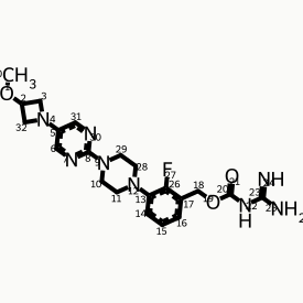 COC1CN(c2cnc(N3CCN(c4cccc(COC(=O)NC(=N)N)c4F)CC3)nc2)C1